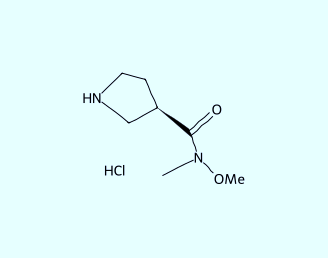 CON(C)C(=O)[C@@H]1CCNC1.Cl